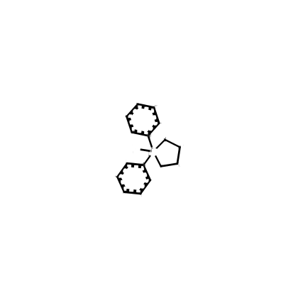 CP1(c2ccccc2)(c2ccccc2)CCCC1